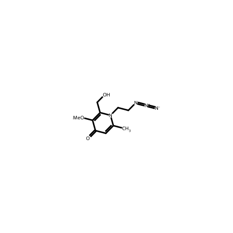 COc1c(CO)n(CCN=[N+]=[N-])c(C)cc1=O